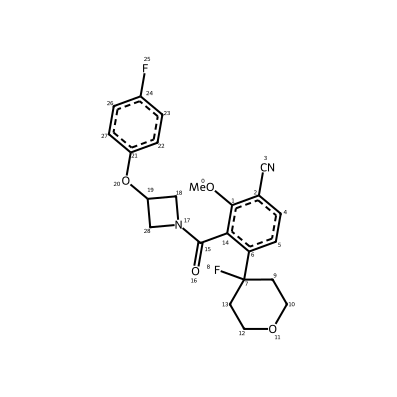 COc1c(C#N)ccc(C2(F)CCOCC2)c1C(=O)N1CC(Oc2ccc(F)cc2)C1